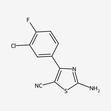 N#Cc1sc(N)nc1-c1ccc(F)c(Cl)c1